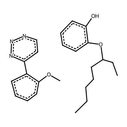 CCCCCC(CC)Oc1ccccc1O.COc1ccccc1-c1ccnnn1